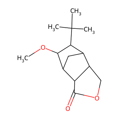 COC1C2CC(C3COC(=O)C32)C1C(C)(C)C